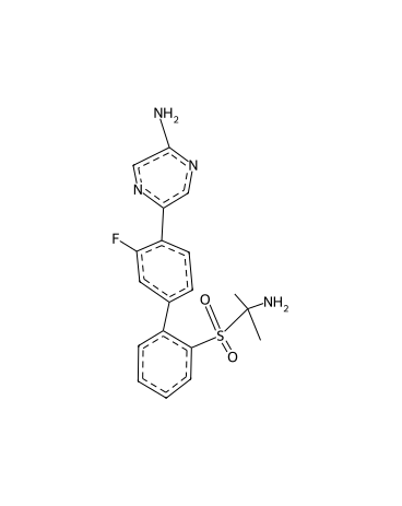 CC(C)(N)S(=O)(=O)c1ccccc1-c1ccc(-c2cnc(N)cn2)c(F)c1